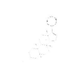 CC(=O)O[C@@H]1CC[C@@]2(C)[C@H](CC[C@@H]3[C@@H]2CC[C@]2(C)C(c4cccnc4)=CC[C@@H]32)C1